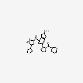 O=C([C@H]1CCCN1c1nc2c(c(Nc3cc(C4CCCC4)[nH]n3)n1)CC(O)C2)N1CCCCC1